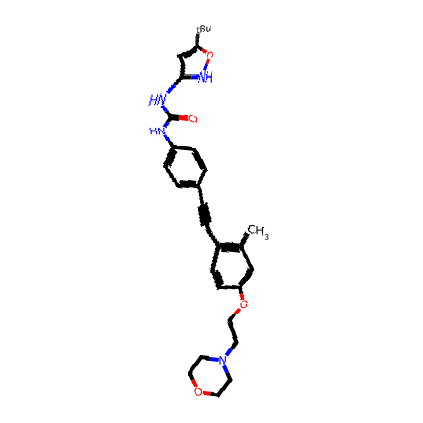 Cc1cc(OCCN2CCOCC2)ccc1C#Cc1ccc(NC(=O)NC2C=C(C(C)(C)C)ON2)cc1